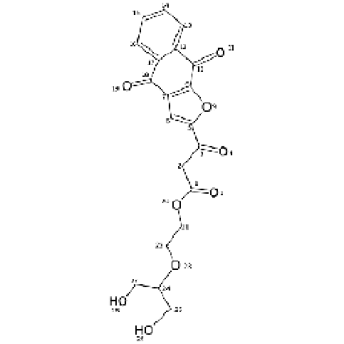 O=C(CC(=O)c1cc2c(o1)C(=O)c1ccccc1C2=O)OCCOC(CO)CO